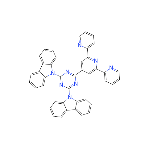 c1ccc(-c2cc(-c3nc(-n4c5ccccc5c5ccccc54)nc(-n4c5ccccc5c5ccccc54)n3)cc(-c3ccccn3)n2)nc1